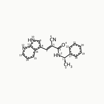 C[C@@H](NC(=O)/C(C#N)=C/c1c[nH]c2ncccc12)c1ccccc1